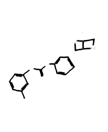 O=C(Nc1cccc(Cl)c1)Nc1cccc([C@@H]2O[C@H]3CNC32)c1